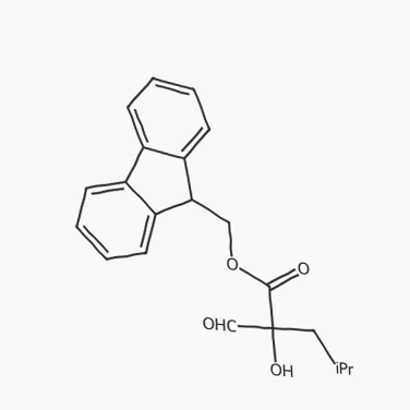 CC(C)CC(O)(C=O)C(=O)OCC1c2ccccc2-c2ccccc21